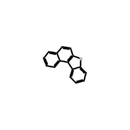 [c]1cc2ccccc2c2c1oc1ccccc12